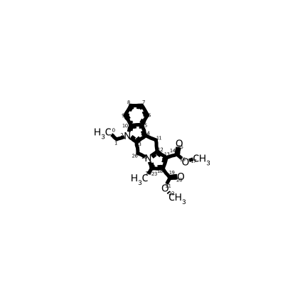 CCn1c2c(c3ccccc31)Cc1c(C(=O)OC)c(C(=O)OC)c(C)n1C2